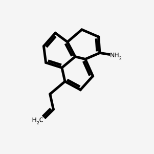 C=CCc1ccc2c3c(cccc13)CC=C2N